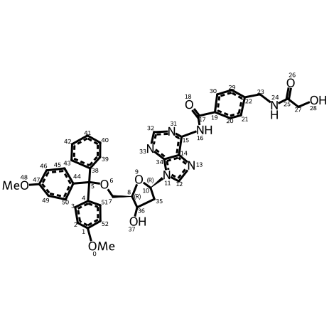 COc1ccc(C(OC[C@H]2O[C@@H](n3cnc4c(NC(=O)c5ccc(CNC(=O)CO)cc5)ncnc43)CC2O)(c2ccccc2)c2ccc(OC)cc2)cc1